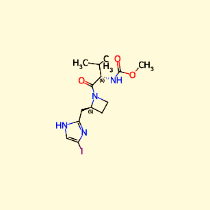 COC(=O)N[C@H](C(=O)N1CC[C@H]1Cc1nc(I)c[nH]1)C(C)C